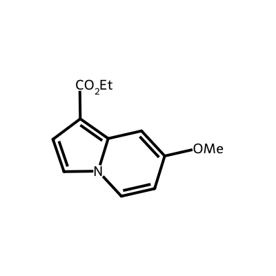 CCOC(=O)c1ccn2ccc(OC)cc12